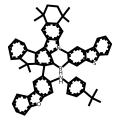 CC(C)(C)c1ccc(Nc2cc3oc4ccccc4c3cc2-c2c3c(c4c5cc6c(cc5n5c4c2Bc2cc4sc7ccccc7c4cc2-5)C(C)(C)CCC6(C)C)-c2ccccc2C3(C)C)cc1